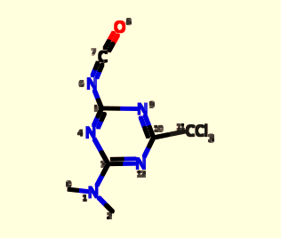 CN(C)c1nc(N=C=O)nc(C(Cl)(Cl)Cl)n1